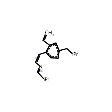 C=Cc1cc(CC(C)C)ccc1/C=C\N=C\C(C)C